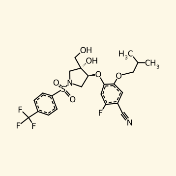 CC(C)COc1cc(C#N)c(F)cc1O[C@H]1CN(S(=O)(=O)c2ccc(C(F)(F)F)cc2)C[C@@]1(O)CO